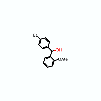 CCc1ccc(C(O)c2ccccc2OC)cc1